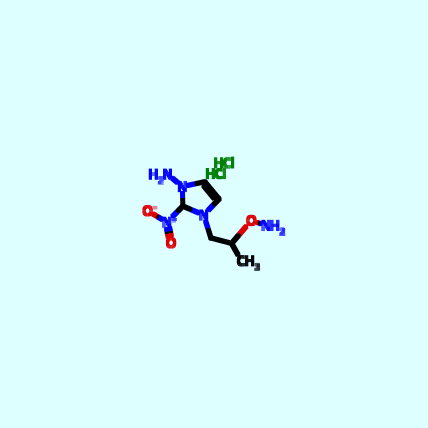 CC(CN1C=CN(N)C1[N+](=O)[O-])ON.Cl.Cl